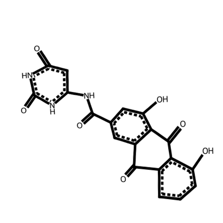 O=C(Nc1cc(=O)[nH]c(=O)[nH]1)c1cc(O)c2c(c1)C(=O)c1cccc(O)c1C2=O